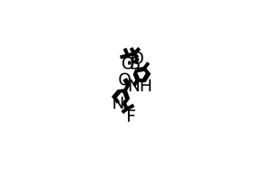 Cc1ccc(NC(=O)c2ccnc(C(C)(C)F)c2)cc1B1OC(C)(C)C(C)(C)O1